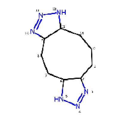 C1CC2N=NNC2CCC2N=NNC2C1